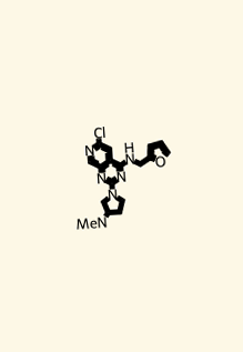 CNC1CCN(c2nc(NCc3ccco3)c3cc(Cl)ncc3n2)C1